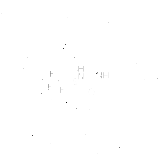 NC(=O)NSCC(F)(F)F